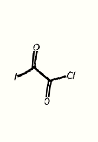 O=C(Cl)C(=O)I